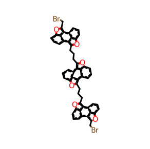 BrCc1oc2cccc3c4c(CCCc5oc6cccc7c8c(CCCc9oc%10cccc%11c%12c(CBr)oc%13cccc(c9c%10%11)c%13%12)oc9cccc(c5c67)c98)oc5cccc(c1c23)c54